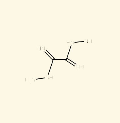 N=C(NN)C(=N)NN